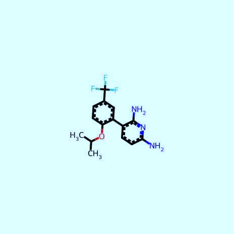 CC(C)Oc1ccc(C(F)(F)F)cc1-c1ccc(N)nc1N